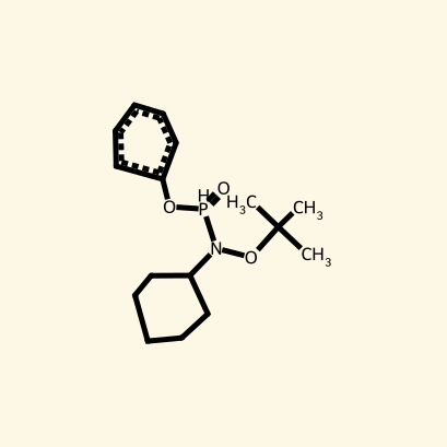 CC(C)(C)ON(C1CCCCC1)[PH](=O)Oc1ccccc1